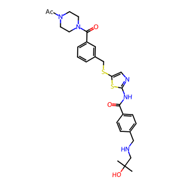 CC(=O)N1CCN(C(=O)c2cccc(CSc3cnc(NC(=O)c4ccc(CNCC(C)(C)O)cc4)s3)c2)CC1